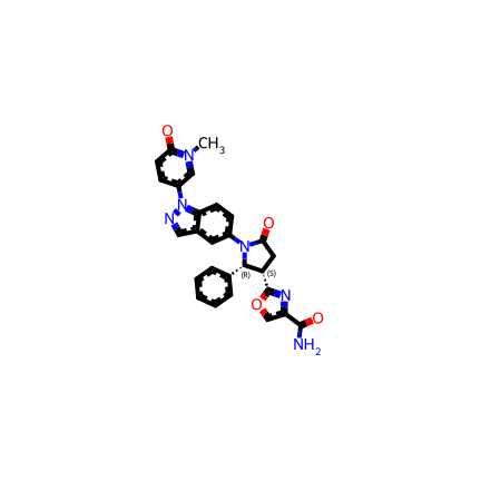 Cn1cc(-n2ncc3cc(N4C(=O)C[C@H](c5nc(C(N)=O)co5)[C@@H]4c4ccccc4)ccc32)ccc1=O